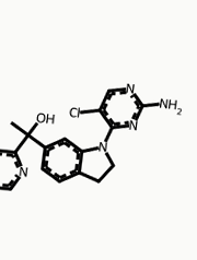 CC(O)(c1ccc2c(c1)N(c1nc(N)ncc1Cl)CC2)c1ccccn1